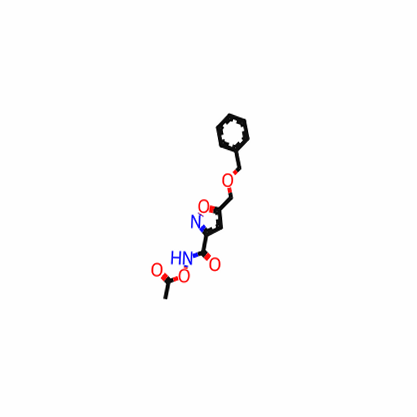 CC(=O)ONC(=O)c1cc(COCc2ccccc2)on1